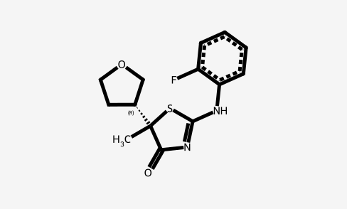 CC1([C@@H]2CCOC2)SC(Nc2ccccc2F)=NC1=O